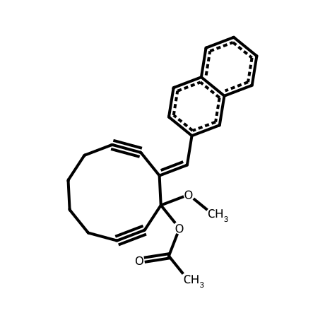 COC1(OC(C)=O)C#CCCCCC#CC1=Cc1ccc2ccccc2c1